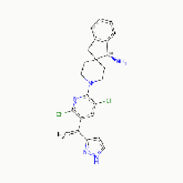 C=C(c1cc[nH]n1)c1cc(Cl)c(N2CCC3(CC2)Cc2ccccc2[C@H]3N)nc1Cl